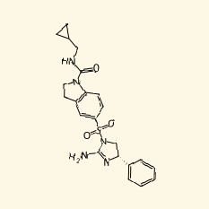 NC1=N[C@@H](c2ccccc2)CN1S(=O)(=O)c1ccc2c(c1)CCN2C(=O)NCC1CC1